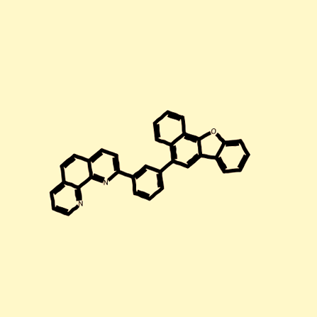 c1cc(-c2ccc3ccc4cccnc4c3n2)cc(-c2cc3c4ccccc4oc3c3ccccc23)c1